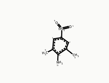 Cc1cc([SH](=O)=O)cc(C)c1N